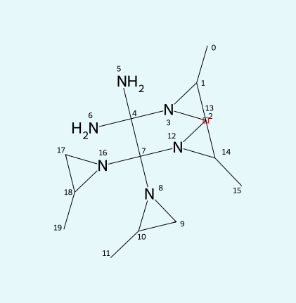 CC1CN1C(N)(N)C(N1CC1C)(N1CC1C)N1CC1C